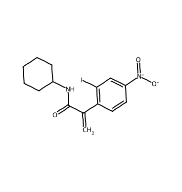 C=C(C(=O)NC1CCCCC1)c1ccc([N+](=O)[O-])cc1I